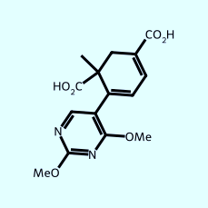 COc1ncc(C2=CC=C(C(=O)O)CC2(C)C(=O)O)c(OC)n1